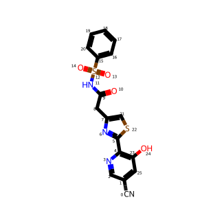 N#Cc1cnc(-c2nc(CC(=O)NS(=O)(=O)c3ccccc3)cs2)c(O)c1